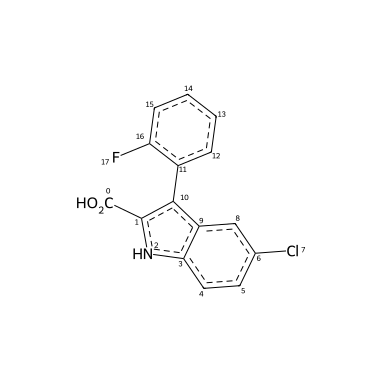 O=C(O)c1[nH]c2ccc(Cl)cc2c1-c1ccccc1F